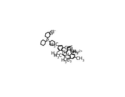 C1CCC(P(C2CCCCC2)C2CCCCC2)CC1.CC1=C(C)N(c2c(C)cc(C)cc2C)C(=C2C=CSC2[CH]=[Ru+2])N1c1c(C)cc(C)cc1C.[Cl-].[Cl-]